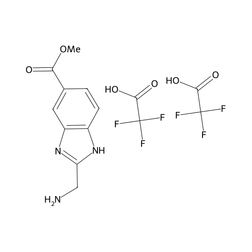 COC(=O)c1ccc2[nH]c(CN)nc2c1.O=C(O)C(F)(F)F.O=C(O)C(F)(F)F